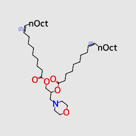 CCCCCCCC/C=C\CCCCCCCC(=O)OCC(CN1CCOCC1)OC(=O)CCCCCCC/C=C\CCCCCCCC